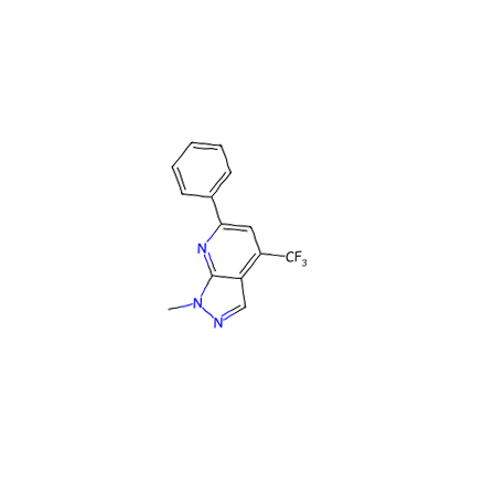 Cn1ncc2c(C(F)(F)F)cc(-c3ccccc3)nc21